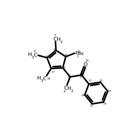 CC1=C(C)C(C(C)(C)C)C(C(C)C(=O)c2ccccc2)=C1C